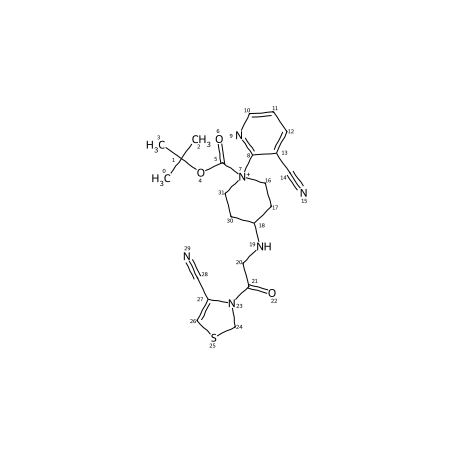 CC(C)(C)OC(=O)[N+]1(c2ncccc2C#N)CCC(NCC(=O)N2CSC=C2C#N)CC1